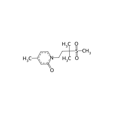 Cc1ccn(CCC(C)(C)S(C)(=O)=O)c(=O)c1